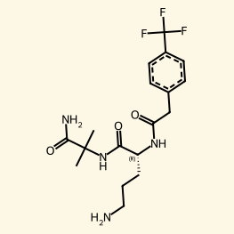 CC(C)(NC(=O)[C@@H](CCCN)NC(=O)Cc1ccc(C(F)(F)F)cc1)C(N)=O